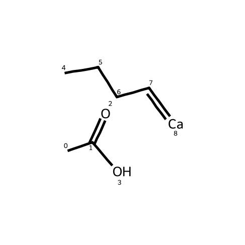 CC(=O)O.CCC[CH]=[Ca]